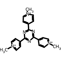 C[n+]1ccc(-c2nc(-c3cc[n+](C)cc3)nc(-c3cc[n+](C)cc3)n2)cc1